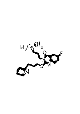 CN(C)CCCn1c(SCCCc2ccccn2)nc2ccc(F)cc2c1=O